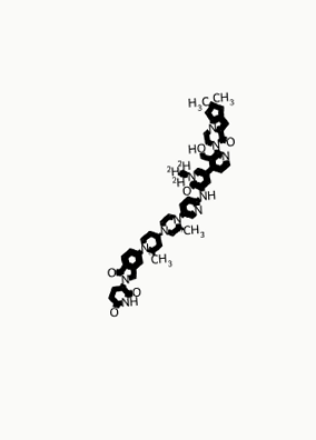 [2H]C([2H])([2H])n1cc(-c2ccnc(N3CCn4c(cc5c4CC(C)(C)C5)C3=O)c2CO)cc(Nc2ccc(N3CCN([C@@H]4CCN(c5ccc6c(c5)CN(C5CCC(=O)NC5=O)C6=O)[C@H](C)C4)C[C@@H]3C)cn2)c1=O